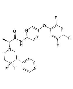 C[C@@H](C(=O)Nc1ccc(Oc2cc(F)c(F)cc2F)cn1)N1CCC(F)(F)[C@@H](c2ccncc2)C1